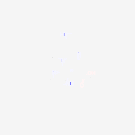 CNC1CCN(C2=Nc3ccccc3N/C2=C(/C#N)C(=O)O)CC1